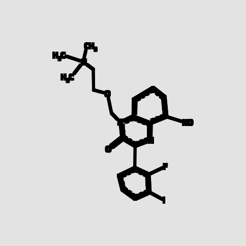 C[Si](C)(C)CCOCn1c(=O)c(-c2cccc(I)c2F)nc2c(N=O)cccc21